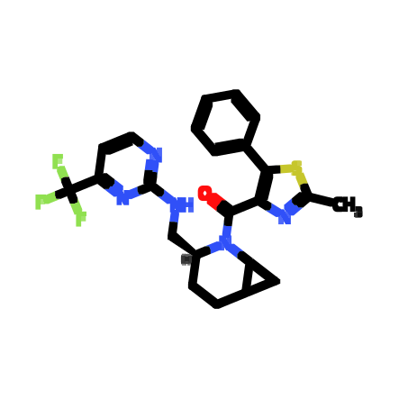 Cc1nc(C(=O)N2C3CC3CC[C@H]2CNc2nccc(C(F)(F)F)n2)c(-c2ccccc2)s1